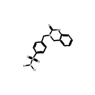 CCN(CC)S(=O)(=O)c1ccc(CN2Cc3ccccc3NC2=O)cc1